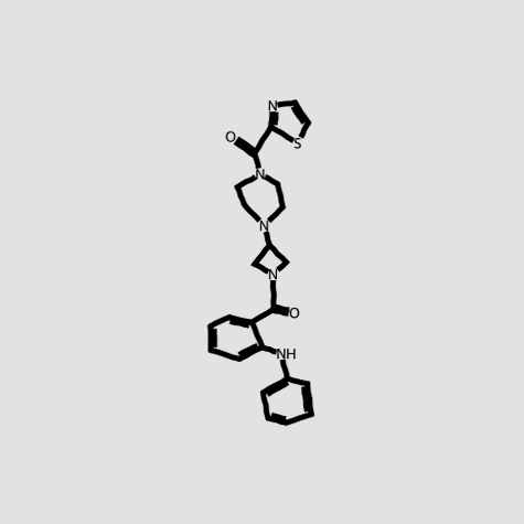 O=C(c1nccs1)N1CCN(C2CN(C(=O)c3ccccc3Nc3ccccc3)C2)CC1